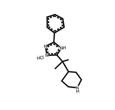 CC(C)(c1nnc(-c2ccccc2)[nH]1)C1CCNCC1.Cl